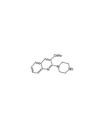 COc1cc2ccccc2nc1N1CCNCC1